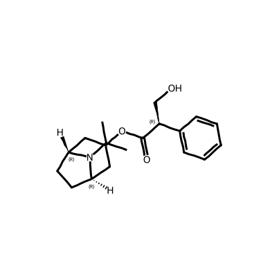 CC(C)N1[C@@H]2CC[C@@H]1CC(OC(=O)[C@@H](CO)c1ccccc1)C2